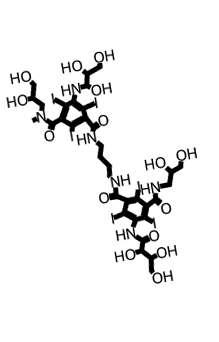 CN(CC(O)CO)C(=O)c1c(I)c(NC(O)C(O)CO)c(I)c(C(=O)NCCCCNC(=O)c2c(I)c(NC(=O)C(O)C(O)CO)c(I)c(C(=O)NCC(O)CO)c2I)c1I